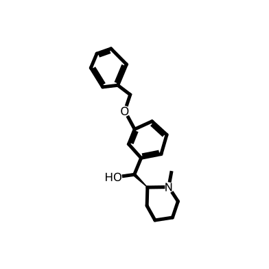 CN1CCCC[C@H]1C(O)c1cccc(OCc2ccccc2)c1